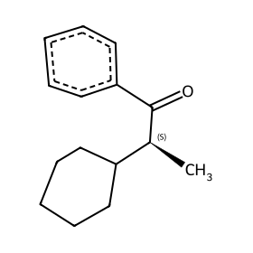 C[C@H](C(=O)c1ccccc1)C1CCCCC1